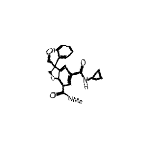 CNC(=O)c1cc(C(=O)NC2CC2)cc2c1OCC2(CO)c1ccccc1